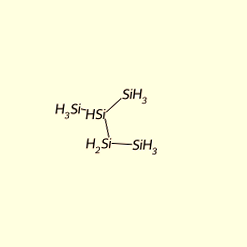 [SiH3][SiH2][SiH]([SiH3])[SiH3]